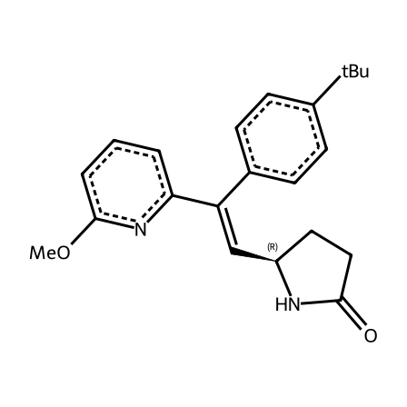 COc1cccc(C(=C[C@H]2CCC(=O)N2)c2ccc(C(C)(C)C)cc2)n1